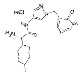 CC1CCC([C@H](N)C(=O)Nc2cnn(Cc3ccc[nH]c3=O)c2)CC1.Cl